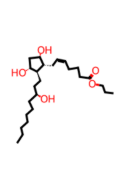 CCCCCCC[C@H](O)CC[C@@H]1[C@@H](C/C=C\CCCC(=O)OCCC)[C@@H](O)C[C@H]1O